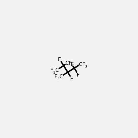 FC(F)(F)C(F)(F)C(F)(C(F)(F)F)C(F)(C(F)(F)F)C(F)(F)F